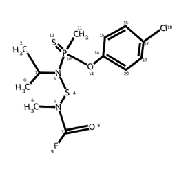 CC(C)N(SN(C)C(=O)F)P(C)(=S)Oc1ccc(Cl)cc1